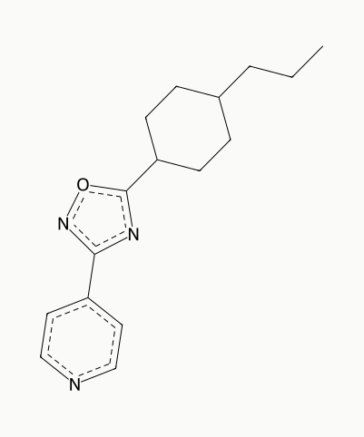 CCCC1CCC(c2nc(-c3ccncc3)no2)CC1